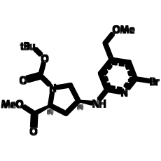 COCc1cc(Br)nc(N[C@H]2C[C@@H](C(=O)OC)N(C(=O)OC(C)(C)C)C2)c1